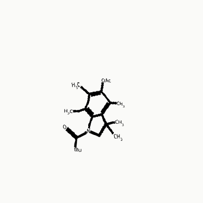 CC(=O)Oc1c(C)c(C)c2c(c1C)C(C)(C)CN2C(=O)C(C)(C)C